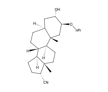 CCCO[C@H]1C[C@@]2(C)[C@@H](CC[C@@H]3[C@@H]2CC[C@]2(C)[C@H](C#N)CC[C@@H]32)C[C@@H]1O